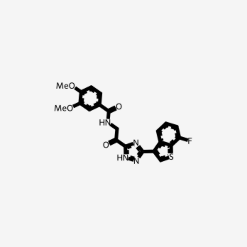 COc1ccc(C(=O)NCC(=O)c2nc(-c3csc4c(F)cccc34)n[nH]2)cc1OC